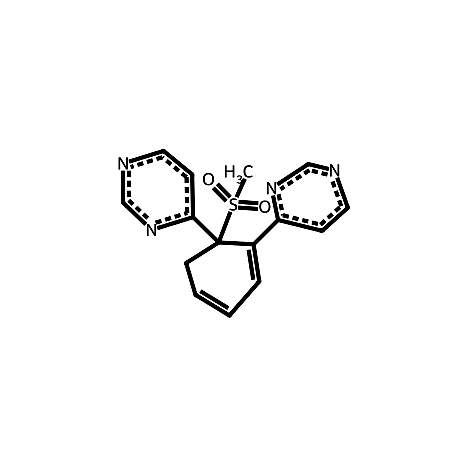 CS(=O)(=O)C1(c2ccncn2)CC=CC=C1c1ccncn1